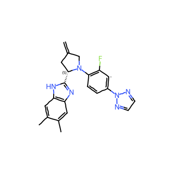 C=C1C[C@@H](c2nc3cc(C)c(C)cc3[nH]2)N(c2ccc(-n3nccn3)[c]c2F)C1